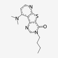 CCCCn1cnc2c(sc3nccc(N(C)C)c32)c1=O